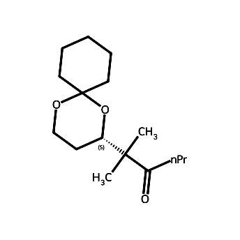 CCCC(=O)C(C)(C)[C@@H]1CCOC2(CCCCC2)O1